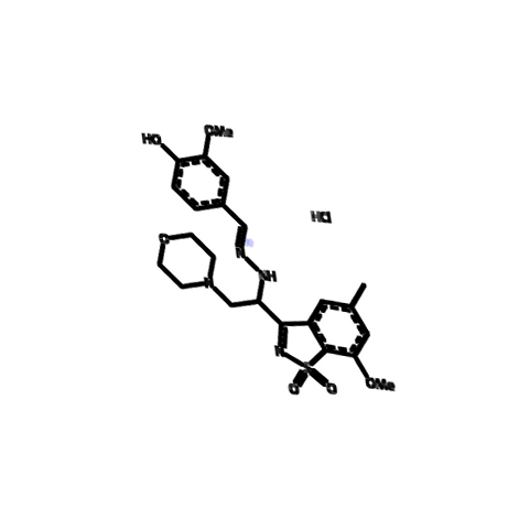 COc1cc(/C=N/NC(CN2CCOCC2)C2=NS(=O)(=O)c3c(OC)cc(C)cc32)ccc1O.Cl